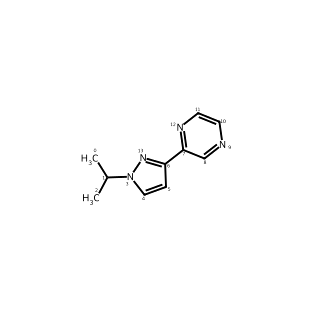 CC(C)n1ccc(-c2cnccn2)n1